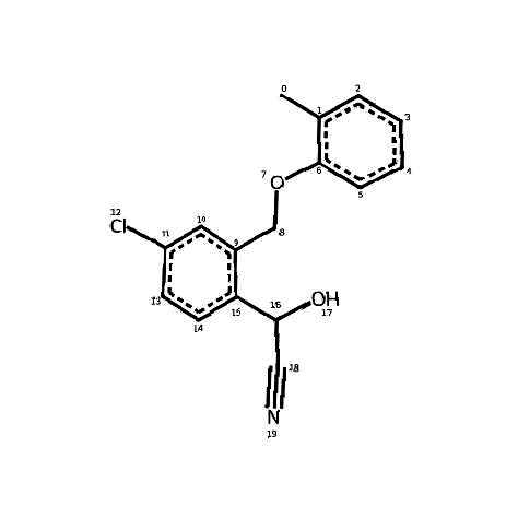 Cc1ccccc1OCc1cc(Cl)ccc1C(O)C#N